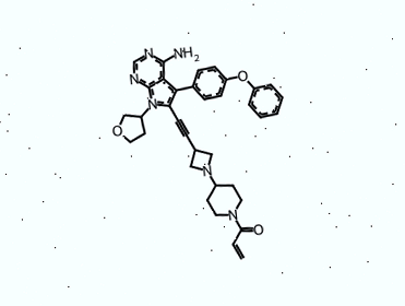 C=CC(=O)N1CCC(N2CC(C#Cc3c(-c4ccc(Oc5ccccc5)cc4)c4c(N)ncnc4n3C3CCOC3)C2)CC1